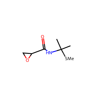 CSC(C)(C)NC(=O)C1CO1